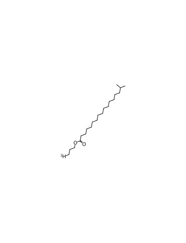 [2H]CCCOC(=O)CCCCCCCCCCCCCCC(C)C